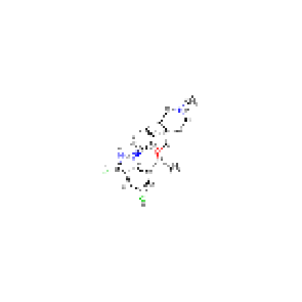 C[C@@H](OCC1(c2ccccc2)CCN(C)CC1)c1cc(Cl)cc2c(Cl)n[nH]c12